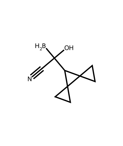 BC(O)(C#N)C1C2(CC2)C12CC2